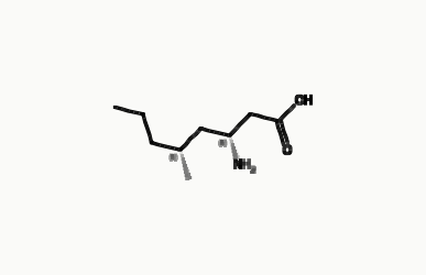 CCC[C@@H](C)C[C@@H](N)CC(=O)O